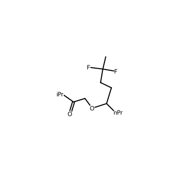 CCCC(CCC(C)(F)F)OCC(=O)C(C)C